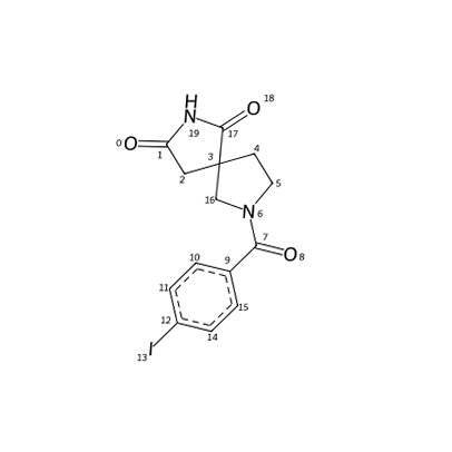 O=C1CC2(CCN(C(=O)c3ccc(I)cc3)C2)C(=O)N1